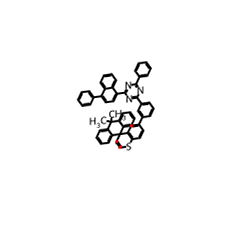 CC1(C)c2ccccc2C2(c3ccccc3Sc3ccc(-c4cccc(-c5nc(-c6ccccc6)nc(-c6ccc(-c7ccccc7)c7ccccc67)n5)c4)cc32)c2ccccc21